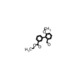 CCOC(=O)c1cccc(-c2c(C=O)cccc2OC)c1